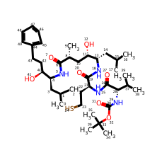 CC(C)C[C@H](NC(=O)[C@H](C)C[C@H](O)[C@H](CC(C)C)NC(=O)[C@H](CCS)NC(=O)[C@@H](NC(=O)OC(C)(C)C)C(C)C)[C@@H](O)CCc1ccccc1